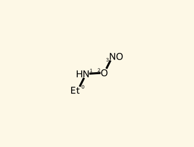 CCNON=O